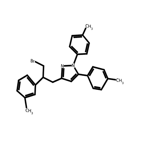 Cc1ccc(-c2cc(CC(CBr)c3cccc(C)c3)nn2-c2ccc(C)cc2)cc1